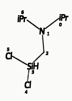 CC(C)N(C[SiH](Cl)Cl)C(C)C